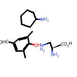 Cc1cc(C=O)cc(C)c1O.NC1CCCCC1.NC[C@H](N)C(=O)O